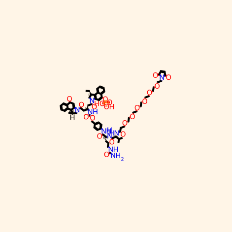 CC[C@@H]1CN(C(=O)C[C@H](CC(=O)N2C[C@H]3C[C@@]34C2=CC(=O)c2ccccc24)NC(=O)OCc2ccc(NC(=O)[C@@H](CCCNC(N)=O)NC(=O)[C@H](NC(=O)CCOCCOCCOCCOCCOCCOCCN3C(=O)C=CC3=O)C(C)C)cc2)c2cc(OP(=O)(O)O)c3ccccc3c21